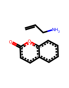 C=CCN.O=c1ccc2ccccc2o1